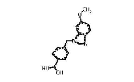 COc1ccc2ncn(Cc3ccc(B(O)O)cc3)c2c1